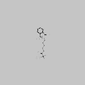 CC(C)C(C)(C)C(=O)CCCCCN1C(=O)c2ccccc2C1=O